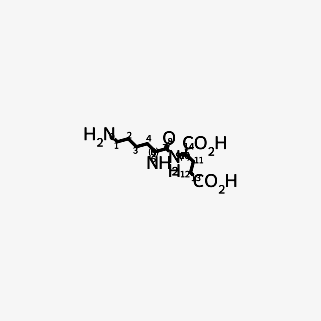 NCCCC[C@@H](N)C(=O)N[C@H](CCC(=O)O)C(=O)O